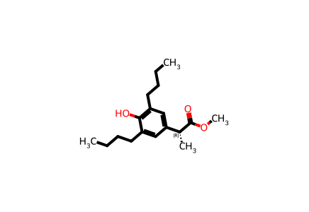 CCCCc1cc([C@@H](C)C(=O)OC)cc(CCCC)c1O